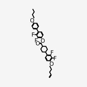 C=CCCCOc1ccc(C2CCC(C(=O)Oc3ccc(-c4ccc(OCCCC)cc4)c(F)c3F)CC2)c(F)c1F